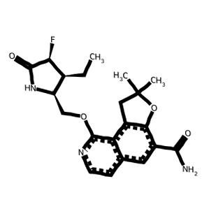 CC[C@@H]1[C@H](F)C(=O)N[C@@H]1COc1nccc2cc(C(N)=O)c3c(c12)CC(C)(C)O3